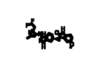 COc1ccc2c(c1)[C@]1(C[C@H]1c1ccc3c(Nc4cc(C)nn4CC(F)F)n[nH]c3c1)C(=O)N2